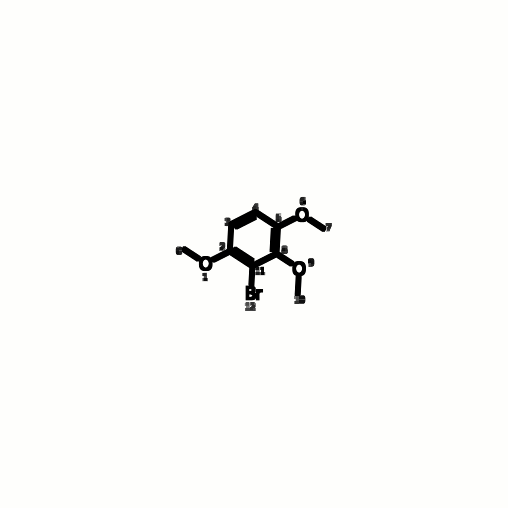 COc1ccc(OC)c(OC)c1Br